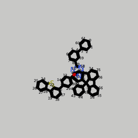 c1ccc(-c2cccc(-c3nc(-c4ccc(-c5cccc6c5sc5ccccc56)cc4)nc(-c4cccc5c4C(c4ccccc4)(c4ccccc4)c4ccccc4-5)n3)c2)cc1